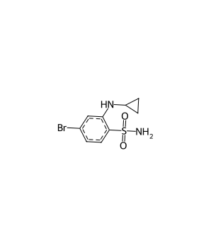 NS(=O)(=O)c1ccc(Br)cc1NC1CC1